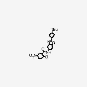 CC(C)(C)c1ccc(-c2nc3cc(NC(=O)c4cc([N+](=O)[O-])ccc4Cl)ccc3o2)cc1